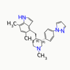 Cc1cc(C)c2[nH]ccc2c1C[C@@H]1CCN(C)C[C@H]1c1ccc(-n2cccn2)cc1